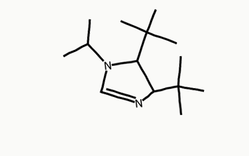 CC(C)N1C=NC(C(C)(C)C)C1C(C)(C)C